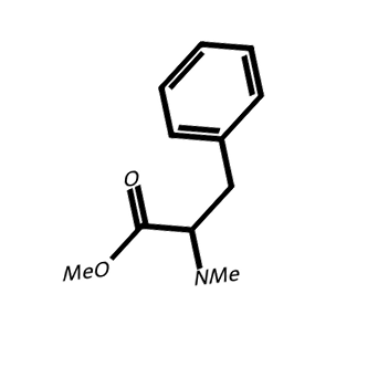 CNC(Cc1ccccc1)C(=O)OC